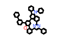 c1ccc(-c2cccc(-c3cc(-c4ccc5c(c4)c4ccccc4n5-c4ccccc4)cc4c3oc3cccc(-c5cc(-c6ccccc6)nc(-c6ccccc6)n5)c34)c2)cc1